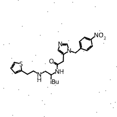 CCC(C)C(CNCCc1cccs1)NC(=O)Cc1cncn1Cc1ccc([N+](=O)[O-])cc1